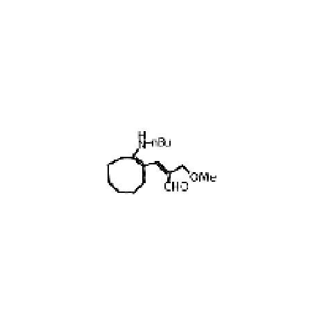 CCCCN/C1=C(\C=C(/C=O)COC)CCCCCC1